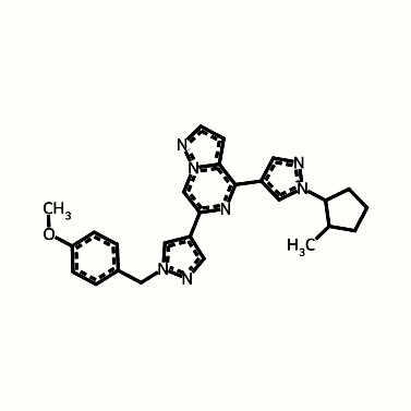 COc1ccc(Cn2cc(-c3cn4nccc4c(-c4cnn(C5CCCC5C)c4)n3)cn2)cc1